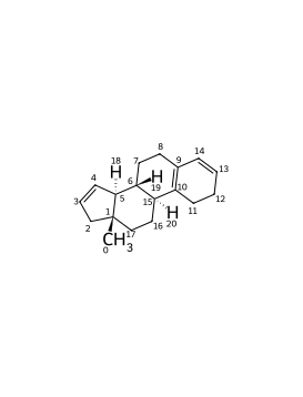 C[C@@]12CC=C[C@H]1[C@@H]1CCC3=C(CCC=C3)[C@H]1CC2